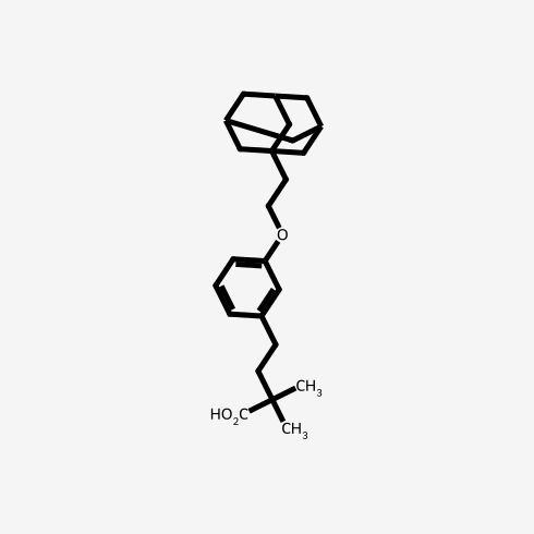 CC(C)(CCc1cccc(OCCC23CC4CC(CC(C4)C2)C3)c1)C(=O)O